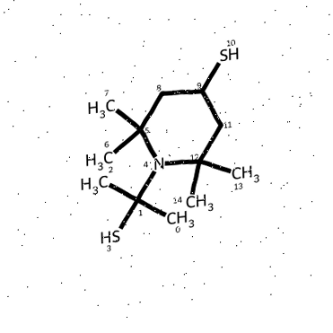 CC(C)(S)N1C(C)(C)CC(S)CC1(C)C